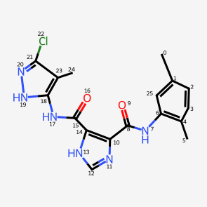 Cc1ccc(C)c(NC(=O)c2nc[nH]c2C(=O)Nc2[nH]nc(Cl)c2C)c1